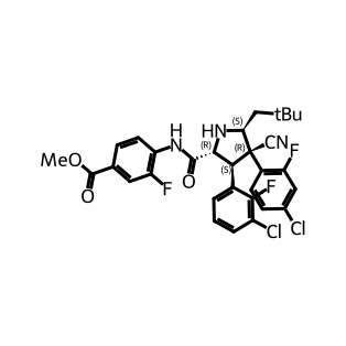 COC(=O)c1ccc(NC(=O)[C@@H]2N[C@@H](CC(C)(C)C)[C@](C#N)(c3ccc(Cl)cc3F)[C@H]2c2cccc(Cl)c2F)c(F)c1